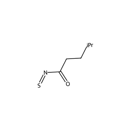 CC(C)CCC(=O)N=S